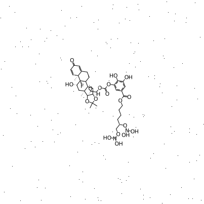 CC1(C)O[C@@H]2CC3C4CCC5=CC(=O)C=C[C@]5(C)[C@@]4(F)[C@@H](O)C[C@]3(C)[C@]2(C(=O)COC(=O)Oc2cc(C(=O)OCCCCC(CON(O)O)ON(O)O)cc(O)c2O)O1